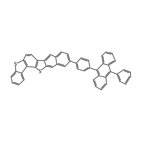 c1ccc(-c2c3ccccc3c(-c3ccc(-c4ccc5cc6c(cc5c4)sc4c6ccc5sc6ccccc6c54)cc3)c3ccccc23)cc1